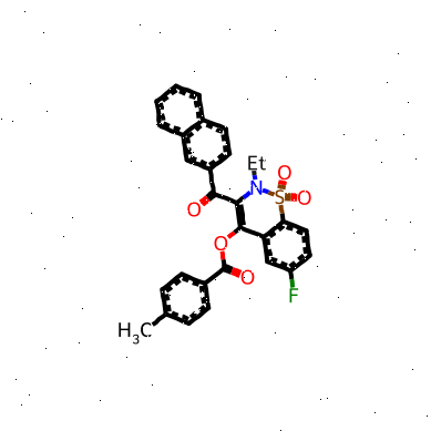 CCN1C(C(=O)c2ccc3ccccc3c2)=C(OC(=O)c2ccc(C)cc2)c2cc(F)ccc2S1(=O)=O